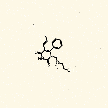 CC=Cc1c(-c2ccccc2)n(COCCO)c(=S)[nH]c1=O